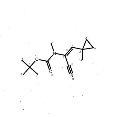 CN(C(=O)OC(C)(C)C)/C(C#N)=C/C1(C)CC1